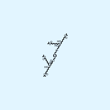 CC(C)OC(=O)CCCCC(O)CN(CCCCSSCCN1CCN(CCOC(=O)CCCN(CC(O)CCCCC(=O)OC(C)C)CC(O)CCCCC(=O)OC(C)C)CC1)CC(O)CCCCC(=O)OC(C)C